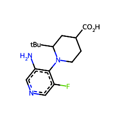 CC(C)(C)C1CC(C(=O)O)CCN1c1c(N)cncc1F